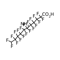 N.O=C(O)C(F)(F)C(F)(F)C(F)(F)C(F)(F)C(F)(F)C(F)(F)C(F)(F)C(F)(F)C(F)(F)C(F)F